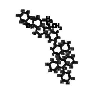 CC1(C)c2ccc(-c3ccc(-c4c5ccccc5c(-c5ccccc5)c5ccccc45)c4ccccc34)cc2-c2ccc3c(ccc4c5ccccc5oc34)c21